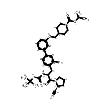 CC(C)OC(=O)N1CCC(COc2cccc(-c3ccc(CC(NC(=O)OC(C)(C)C)C(=O)N4CCC[C@H]4C#N)c(F)c3)c2)CC1